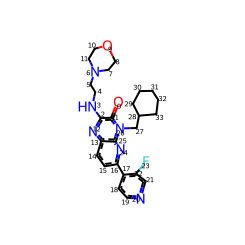 O=c1c(NCCN2CCOCC2)nc2ccc(-c3ccncc3F)nc2n1CC1CCCCC1